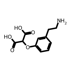 NCCc1cccc(OC(C(=O)O)C(=O)O)c1